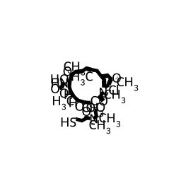 COc1cc2cc(c1Cl)N(C)C(=O)C[C@H](OC(=O)[C@H](C)N(C)C(=O)CCS)[C@]1(C)O[C@H]1C(C)[C@@H]1C[C@@](O)(NC(=O)O1)[C@H](OC)/C=C/C=C(\C)C2